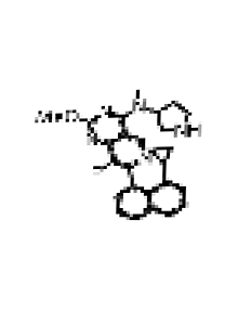 COc1nc(N(C)C2CCNC2)c2cnc(-c3cccc4cccc(C5CC5)c34)c(F)c2n1